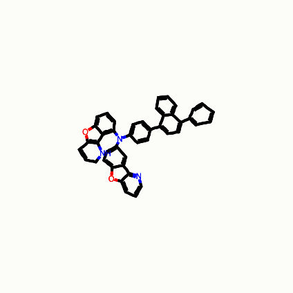 C1=Cc2oc3cccc(N(c4ccc(-c5ccc(-c6ccccc6)c6ccccc56)cc4)c4ccc5oc6cccnc6c5c4)c3c2NC1